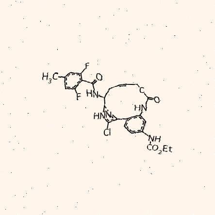 CCOC(=O)Nc1ccc2c(c1)NC(=O)CCC=CC[C@H](NC(=O)c1c(F)cc(C)cc1F)c1nc-2c(Cl)[nH]1